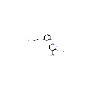 COCCOc1cccc(Nc2ccc(C(N)=O)c(N)n2)c1